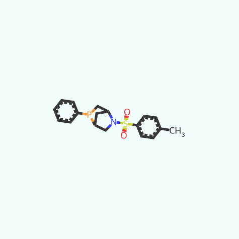 Cc1ccc(S(=O)(=O)N2CC3CC2CP3c2ccccc2)cc1